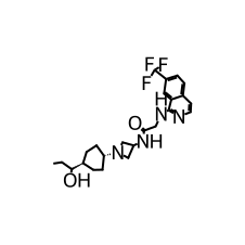 CCC(O)[C@H]1CC[C@H](N2CC(NC(=O)CNc3nccc4ccc(C(F)(F)F)cc34)C2)CC1